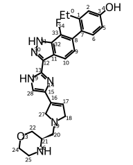 CCc1cc(O)ccc1-c1ccc2c(-c3nc(C4=CCN(C[C@@H]5COCCN5)C4)c[nH]3)n[nH]c2c1F